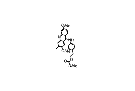 CNC(=O)OCCc1ccc(Nc2c3ccc(OC)cc3nc3cc(C)c(OC)cc23)cc1